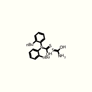 CCCCc1ccccc1N(C(O)=S)c1ccccc1CCCC.NC(O)=S